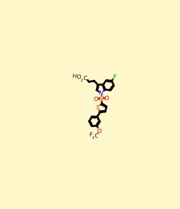 O=C(O)CCc1cn(S(=O)(=O)c2ccc(-c3cccc(OC(F)(F)F)c3)s2)c2ccc(F)cc12